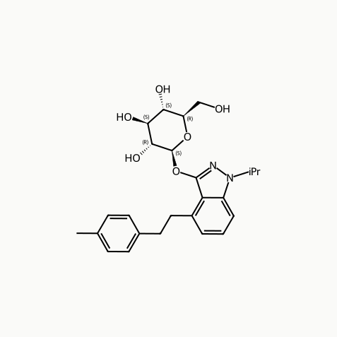 Cc1ccc(CCc2cccc3c2c(O[C@@H]2O[C@H](CO)[C@@H](O)[C@H](O)[C@H]2O)nn3C(C)C)cc1